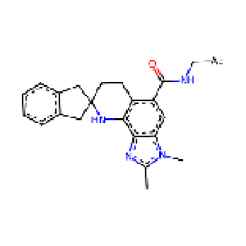 CC(=O)CNC(=O)c1cc2c(nc(C)n2C)c2c1CCC1(Cc3ccccc3C1)N2